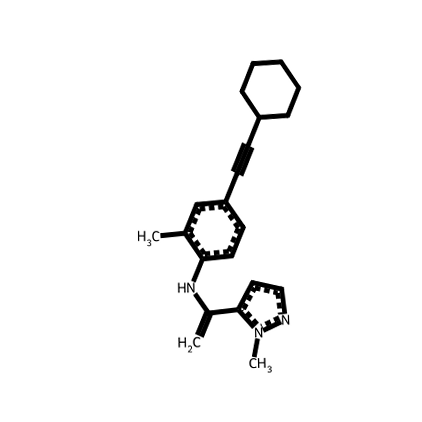 C=C(Nc1ccc(C#CC2CCCCC2)cc1C)c1ccnn1C